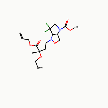 C=CCOC(=O)[C@](C)(CCN1OCC2C1C(F)(F)CN2C(=O)OC(C)(C)C)OCOC